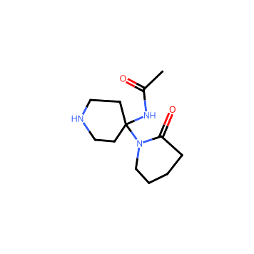 CC(=O)NC1(N2CCCCC2=O)CCNCC1